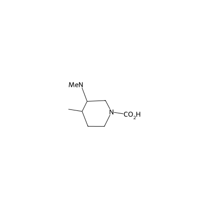 CNC1CN(C(=O)O)CCC1C